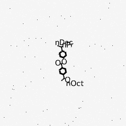 CCCCCCCCCCCC(CCC)c1ccc(OC(=O)c2ccc(C(C)OCCCCCCCC)cc2)cc1